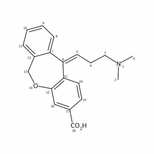 CN(C)CCC=C1c2ccccc2COc2cc(C(=O)O)ccc21